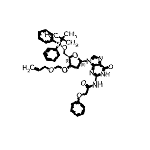 C=CCOCOC1C[C@H](n2cnc3c(=O)[nH]c(NC(=O)COc4ccccc4)nc32)O[C@@H]1CO[Si](c1ccccc1)(c1ccccc1)C(C)(C)C